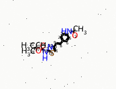 CC(=O)Nc1ccc(C=Cc2csc(NC(=O)OC(C)(C)C)n2)cc1